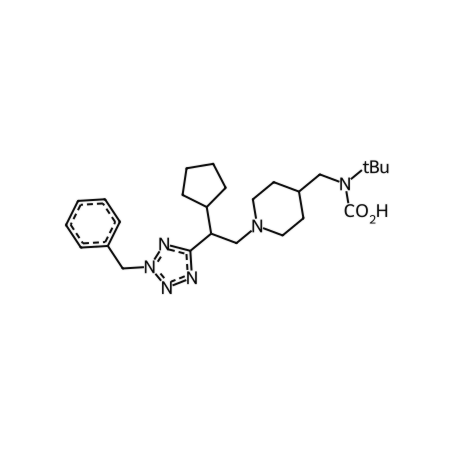 CC(C)(C)N(CC1CCN(CC(c2nnn(Cc3ccccc3)n2)C2CCCC2)CC1)C(=O)O